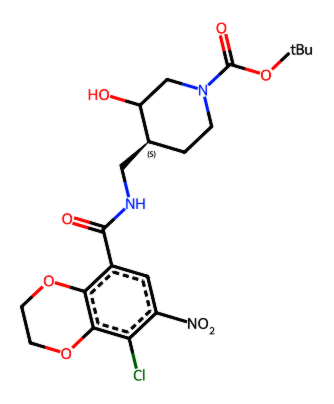 CC(C)(C)OC(=O)N1CC[C@@H](CNC(=O)c2cc([N+](=O)[O-])c(Cl)c3c2OCCO3)C(O)C1